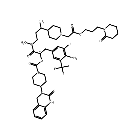 CC(CCN(C)C(=O)[C@@H](Cc1cc(Cl)c(N)c(C(F)(F)F)c1)OC(=O)N1CCC(N2Cc3ccccc3NC2=O)CC1)C1CCN(CC(=O)OCCCN2CCCCC2=O)CC1